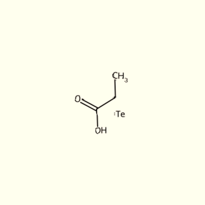 CCC(=O)O.[Te]